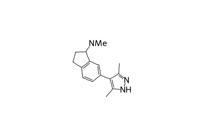 CNC1CCc2ccc(-c3c(C)n[nH]c3C)cc21